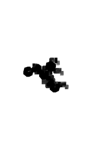 Cc1cc(C)c(Oc2nc(-c3ccnc(N4CCCCC4)n3)ccc2C(=O)NS(=O)(=O)c2cccc(N)n2)c(C)c1